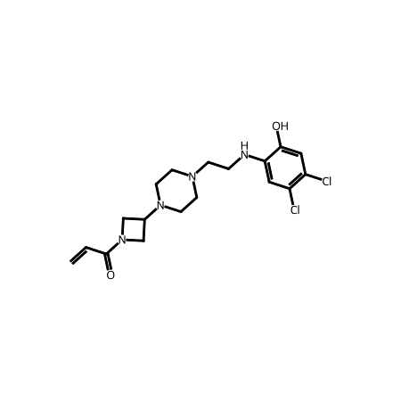 C=CC(=O)N1CC(N2CCN(CCNc3cc(Cl)c(Cl)cc3O)CC2)C1